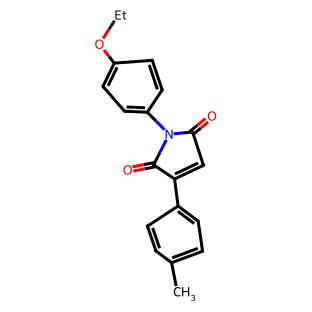 CCOc1ccc(N2C(=O)C=C(c3ccc(C)cc3)C2=O)cc1